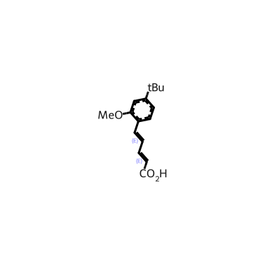 COc1cc(C(C)(C)C)ccc1/C=C/C=C/C(=O)O